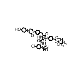 CC(C)(C)OC(=O)c1ccc(NC(=O)C(Cc2ccc(N3CCN(C4CCC(O)CC4)CC3=O)cc2)NC(=O)C(=O)Nc2cc(Cl)ccc2-n2cnnn2)cc1